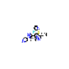 CN1CCC(n2ncc(-c3cc(Sc4ncccc4F)c4c(C#N)cnn4c3)c2C#N)CC1